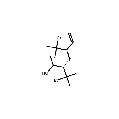 C=C[C@@H](C[C@@H](C(C)O)C(C)(C)CC)C(C)(C)CC